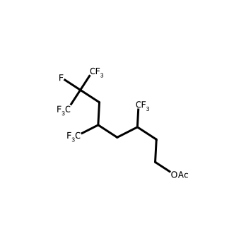 CC(=O)OCCC(CC(CC(F)(C(F)(F)F)C(F)(F)F)C(F)(F)F)C(F)(F)F